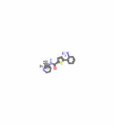 C[C@H]1[C@H](NC(=O)c2ccc(-c3ccccc3N)s2)C2CCN1CC2